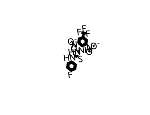 O=[N+]([O-])c1cc(C(F)(F)F)cc([N+](=O)[O-])c1NNC(=S)Nc1ccc(F)cc1